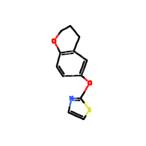 c1csc(Oc2ccc3c(c2)CCCO3)n1